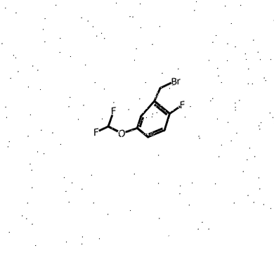 Fc1ccc(OC(F)F)cc1CBr